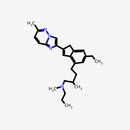 CCCN(C)CC(C)CCc1cc(CC)cc2c1C=C(c1cn3nc(C)ccc3n1)C2